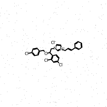 Clc1ccc(COC(Cn2cc[n+](CC=Cc3ccccc3)c2)c2ccc(Cl)cc2Cl)cc1.[Cl-]